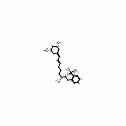 C[C@H](CCC/C=C/C=C1C[C@@H](O)C[C@@H](O)C1)CCc1ccccc1C(C)(C)O